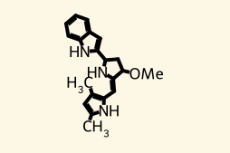 COC1CC(c2cc3ccccc3[nH]2)N/C1=C\c1[nH]c(C)cc1C